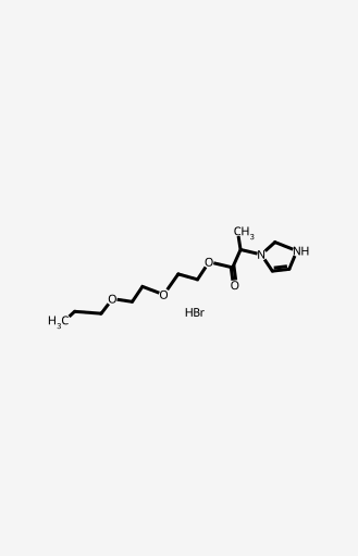 Br.CCCOCCOCCOC(=O)C(C)N1C=CNC1